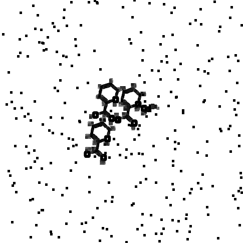 O=C([O-])C1=CC=CCO1.O=C([O-])C1=CC=CCO1.O=C([O-])C1=CC=CCO1.[Gd+3]